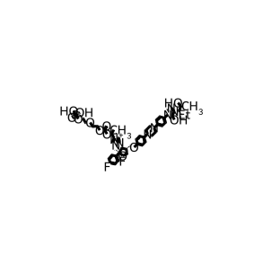 CC[C@@H]([C@H](C)O)N1N=CN(c2ccc(N3CCN(c4ccc(OC[C@@H]5CO[C@@](Cn6c[n+](C(C)OC(=O)OCCOCCOP(=O)(O)O)cn6)(c6ccc(F)cc6F)C5)cc4)CC3)cc2)C1O